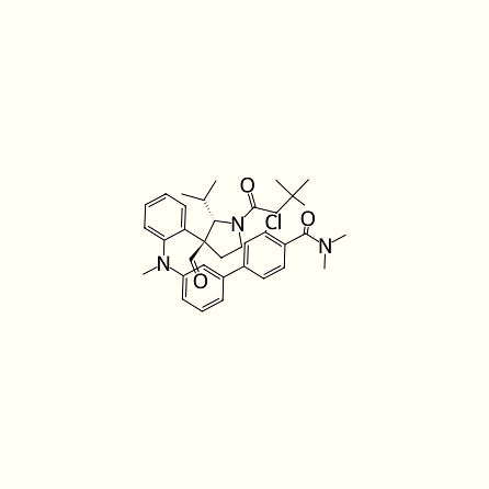 CC(C)[C@@H]1N(C(=O)CC(C)(C)C)CC[C@]1(C=O)c1ccccc1N(C)c1cccc(-c2ccc(C(=O)N(C)C)c(Cl)c2)c1